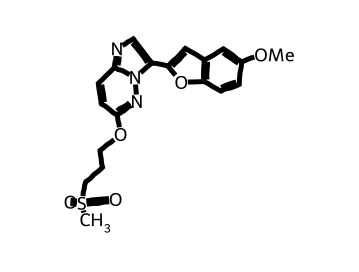 COc1ccc2oc(-c3cnc4ccc(OCCCS(C)(=O)=O)nn34)cc2c1